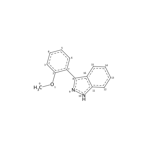 COc1c[c]ccc1-c1n[nH]c2ccccc12